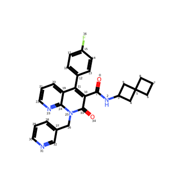 O=C(NC1CC2(CCC2)C1)c1c(-c2ccc(F)cc2)c2cccnc2n(Cc2cccnc2)c1=O